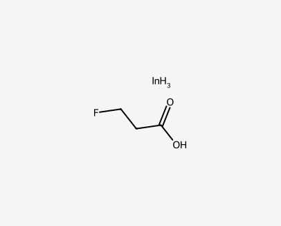 O=C(O)CCF.[InH3]